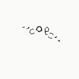 CCOC(=O)[C@@H]1CCCN(c2cccc(OC3(C(=O)N4CCN(C(=O)OC(C)(C)C)CC4)CCCC3)c2)C1